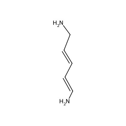 NC=CC=CCN